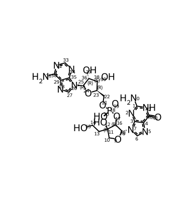 Nc1nc2c(ncn2[C@@H]2OC[C@](O)(CCO)[C@H]2OP(=O)(O)OC[C@H]2O[C@@H](n3cnc4c(N)ncnc43)[C@H](O)[C@@H]2O)c(=O)[nH]1